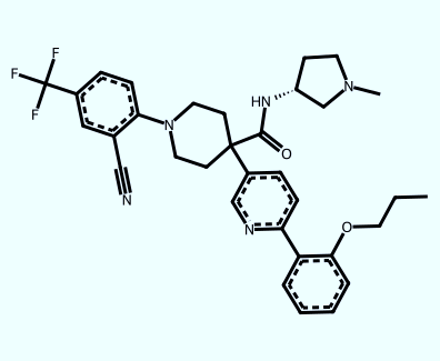 CCCOc1ccccc1-c1ccc(C2(C(=O)N[C@@H]3CCN(C)C3)CCN(c3ccc(C(F)(F)F)cc3C#N)CC2)cn1